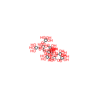 O=C(OC1OC2COC(=O)c3cc(Oc4c(C(=O)OC5C(O)OC6COC(=O)c7cc(O)c(O)c(O)c7-c7c(cc(O)c(O)c7O)C(=O)OC6C5OC(=O)c5cc(O)c(O)c(O)c5)cc(O)c(O)c4O)c(O)c(O)c3-c3c(cc(O)c(O)c3O)C(=O)OC2C(OC(=O)c2cc(O)c(O)c(O)c2)C1O)c1cc(O)c(O)c(O)c1